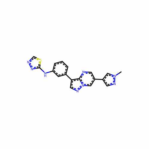 Cn1cc(-c2cnc3c(-c4cccc(Nc5nncs5)c4)cnn3c2)cn1